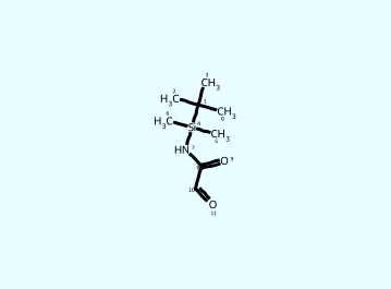 CC(C)(C)[Si](C)(C)NC(=O)C=O